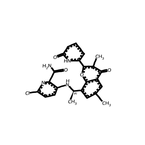 Cc1cc([C@@H](C)Nc2ccc(Cl)nc2C(N)=O)c2oc(-c3cccc(=O)[nH]3)c(C)c(=O)c2c1